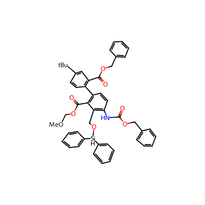 COCOC(=O)c1c(-c2ccc(C(C)(C)C)cc2C(=O)OCc2ccccc2)ccc(NC(=O)OCc2ccccc2)c1CO[SiH](c1ccccc1)c1ccccc1